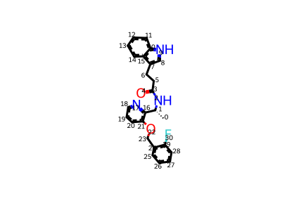 C[C@@H](NC(=O)CCc1c[nH]c2ccccc12)c1ncccc1OCc1ccccc1F